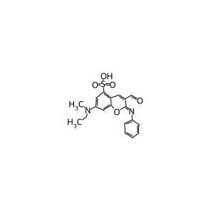 CCN(C)c1cc(S(=O)(=O)O)c2cc(C=O)c(=Nc3ccccc3)oc2c1